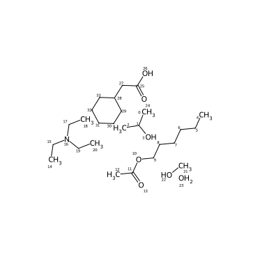 CC(C)O.CCCCCCOC(C)=O.CCN(CC)CC.CO.O.O=C(O)CC1CCCCC1